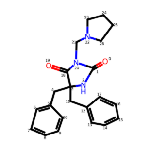 O=C1NC(Cc2ccccc2)(Cc2ccccc2)C(=O)N1CN1CCCC1